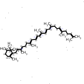 CC(C)=CCC/C(C)=C/CC/C(C)=C/C=C/C(C)=C/C=C/C=C(\C)CC/C=C(\C)CCC1=C(C)CCC(O)C1(C)C